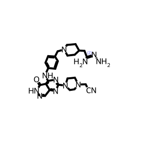 N#CCN1CCN(c2nc(Nc3ccc(CN4CCC(C/C(N)=N/N)CC4)cc3)c3c(=O)[nH]ncc3n2)CC1